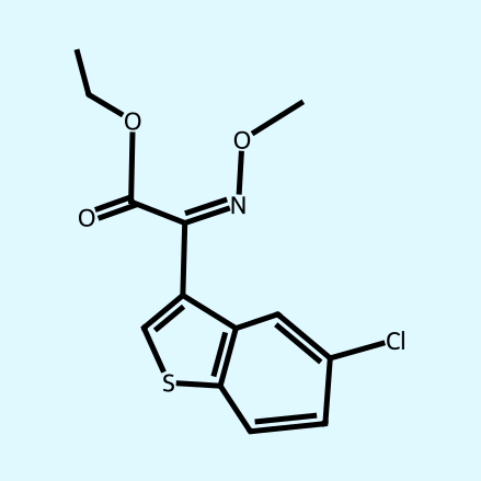 CCOC(=O)C(=NOC)c1csc2ccc(Cl)cc12